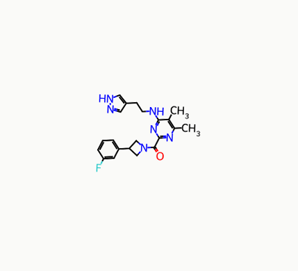 Cc1nc(C(=O)N2CC(c3cccc(F)c3)C2)nc(NCCc2cn[nH]c2)c1C